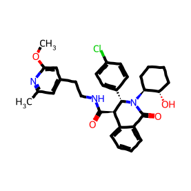 COc1cc(CCNC(=O)[C@@H]2c3ccccc3C(=O)N([C@H]3CCCC[C@@H]3O)[C@H]2c2ccc(Cl)cc2)cc(C)n1